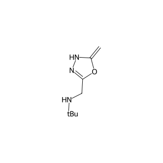 C=C1NN=C(CNC(C)(C)C)O1